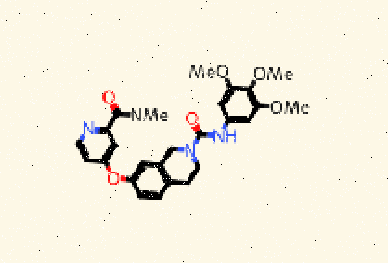 CNC(=O)c1cc(Oc2ccc3c(c2)CN(C(=O)Nc2cc(OC)c(OC)c(OC)c2)CC3)ccn1